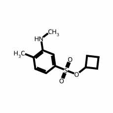 CNc1cc(S(=O)(=O)OC2CCC2)ccc1C